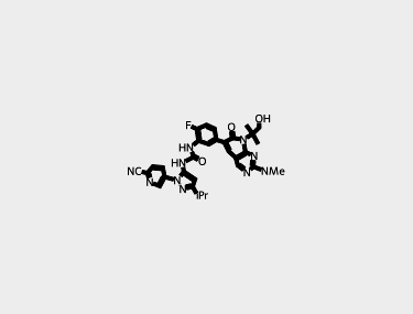 CNc1ncc2cc(-c3ccc(F)c(NC(=O)Nc4cc(C(C)C)nn4-c4ccc(C#N)nc4)c3)c(=O)n(C(C)(C)CO)c2n1